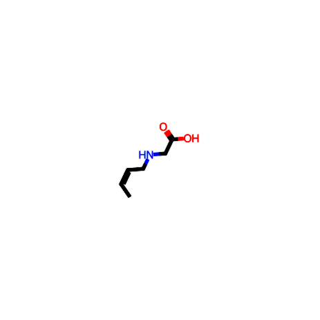 C/C=C\CNCC(=O)O